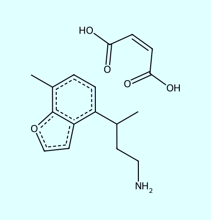 Cc1ccc(C(C)CCN)c2ccoc12.O=C(O)/C=C\C(=O)O